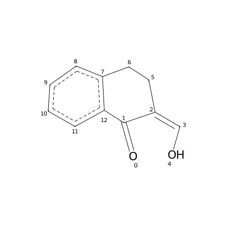 O=C1C(=CO)CCc2ccccc21